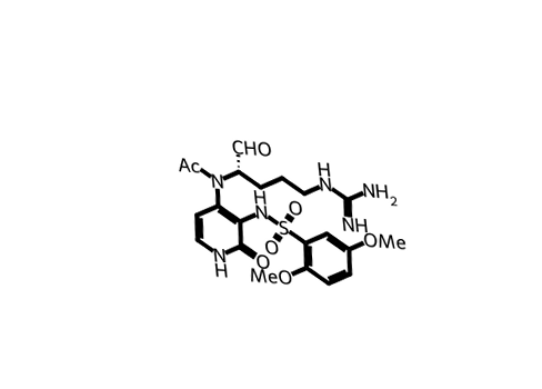 COc1ccc(OC)c(S(=O)(=O)Nc2c(N(C(C)=O)[C@H](C=O)CCCNC(=N)N)cc[nH]c2=O)c1